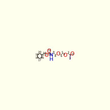 O=C(I)COCCOCCNC(=O)OCc1ccccc1